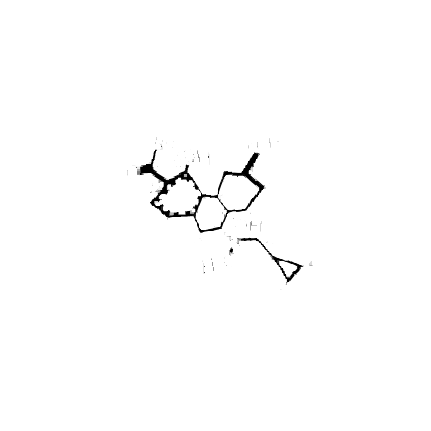 C=C1CC[C@]2(O)C(C1)c1c(ccc(C(N)=O)c1O)C[C@H]2N(C)CC1CC1